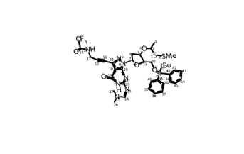 CSSC(C)O[C@@H]1C[C@H](n2nc(C#CCNC(=O)C(F)(F)F)c3c(=O)[nH]c(/N=C\N(C)C)nc32)O[C@@H]1CO[Si](c1ccccc1)(c1ccccc1)C(C)(C)C